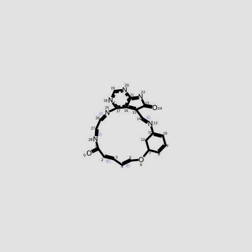 O=C1/C=C/C=C/OC2C=CC=C(C2)/N=C/C2=c3c(ncnc3=NC2=O)/N=C\C=N/1